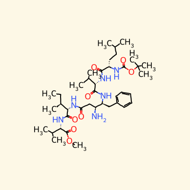 CC[C@H](C)[C@H](NC(=O)C[C@H](N)[C@H](Cc1ccccc1)NC(=O)[C@@H](NC(=O)[C@H](CCC(C)C)NC(=O)OC(C)(C)C)C(C)C)C(=O)N[C@H](C(=O)OC)C(C)C